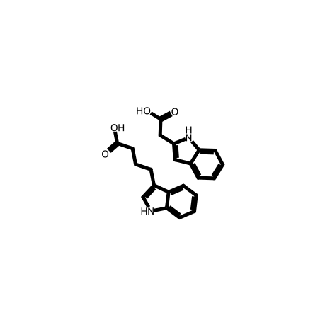 O=C(O)CCCc1c[nH]c2ccccc12.O=C(O)Cc1cc2ccccc2[nH]1